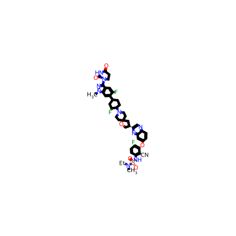 CCN(C)S(=O)(=O)Nc1ccc(F)c(Oc2ccc3ncc([C@@H]4COC5(CCN(C6CCC(c7cc8c(cc7F)c(N7CCC(=O)NC7=O)nn8C)CC6F)CC5)C4)nc3c2)c1C#N